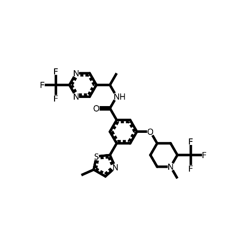 Cc1cnc(-c2cc(OC3CCN(C)C(C(F)(F)F)C3)cc(C(=O)NC(C)c3cnc(C(F)(F)F)nc3)c2)s1